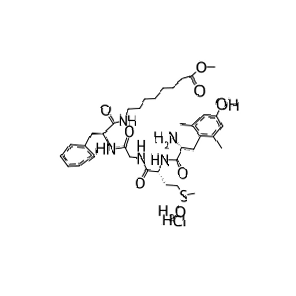 COC(=O)CCCCCCCNC(=O)[C@H](Cc1ccccc1)NC(=O)CNC(=O)[C@@H](CCSC)NC(=O)[C@H](N)Cc1c(C)cc(O)cc1C.Cl.O